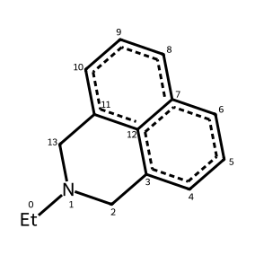 CCN1Cc2cccc3cccc(c23)C1